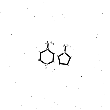 CN1CCCC1.CN1CCOCC1